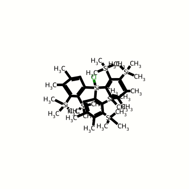 Cc1cc([Si](Cl)(c2cc(C)c(C)c([Si](C)(C)C)c2[Si](C)(C)C)c2cc(C)c(C)c([Si](C)(C)C)c2[Si](C)(C)C)c([Si](C)(C)C)c([Si](C)(C)C)c1C